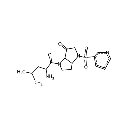 CC(C)CC(N)C(=O)N1CCC2C1C(=O)CN2S(=O)(=O)c1cccnc1